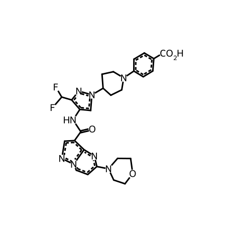 O=C(O)c1ccc(N2CCC(n3cc(NC(=O)c4cnn5ccc(N6CCOCC6)nc45)c(C(F)F)n3)CC2)cc1